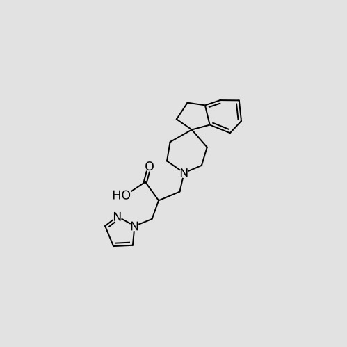 O=C(O)C(CN1CCC2(CCc3ccccc32)CC1)Cn1cccn1